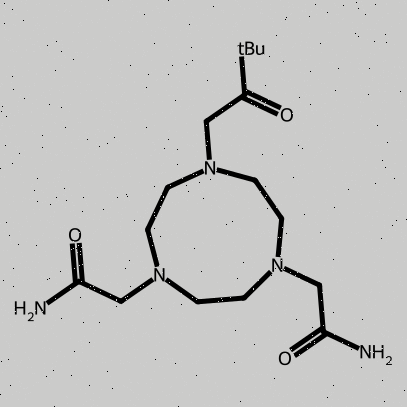 CC(C)(C)C(=O)CN1CCN(CC(N)=O)CCN(CC(N)=O)CC1